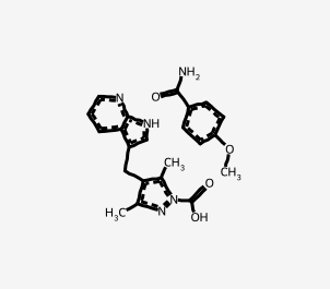 COc1ccc(C(N)=O)cc1.Cc1nn(C(=O)O)c(C)c1Cc1c[nH]c2ncccc12